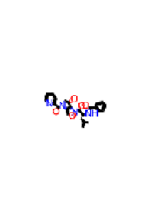 CC(C)C[C@H](NC(=O)c1ccccc1)C(=O)N1OCC2C1C(=O)CN2C(=O)c1ccccn1